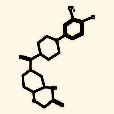 O=C1COC2CCN(C(=O)N3CCN(c4ccc(Cl)c(C(F)(F)F)c4)CC3)CC2N1